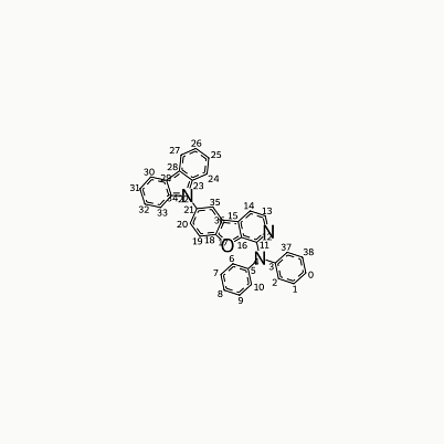 c1ccc(N(c2ccccc2)c2nccc3c2oc2ccc(-n4c5ccccc5c5ccccc54)cc23)cc1